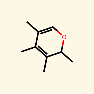 CC1=COC(C)C(C)=C1C